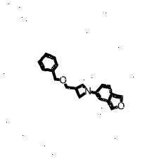 c1ccc(COCC2CN(c3ccc4cocc4c3)C2)cc1